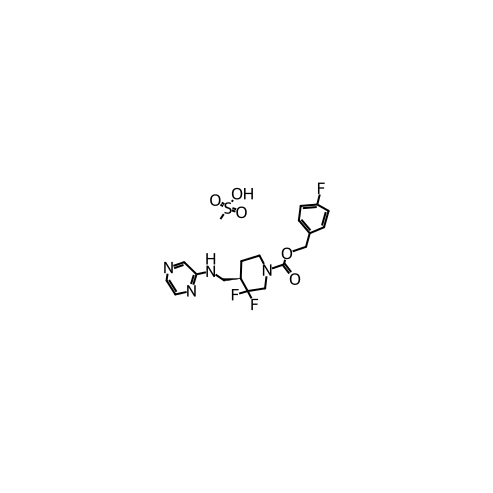 CS(=O)(=O)O.O=C(OCc1ccc(F)cc1)N1CC[C@H](CNc2cnccn2)C(F)(F)C1